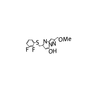 COCc1cc2nc(CSc3cccc(F)c3F)cc(O)n2n1